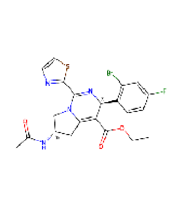 CCOC(=O)C1=C2C[C@H](NC(C)=O)CN2C(c2nccs2)=N[C@H]1c1ccc(F)cc1Br